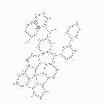 Cc1ccccc1-c1ccc(N(c2cccc(-c3ccccc3)c2)c2ccc3c(c2)C2(c4ccccc4-c4ccccc42)c2ccccc2-3)cc1C(C)c1ccccc1